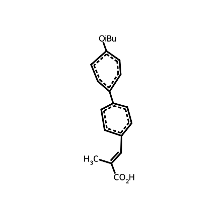 CC(=Cc1ccc(-c2ccc(OCC(C)C)cc2)cc1)C(=O)O